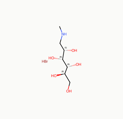 Br.CNC[C@H](O)[C@@H](O)[C@H](O)[C@H](O)CO